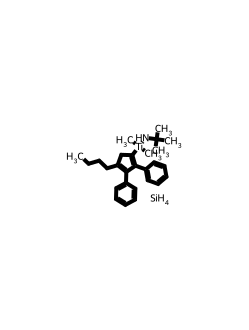 CCCCC1=C(c2ccccc2)C(c2ccccc2)=[C]([Ti]([CH3])([CH3])[NH]C(C)(C)C)C1.[SiH4]